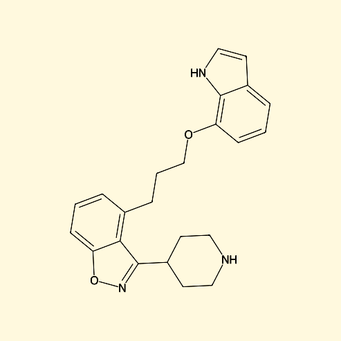 c1cc(OCCCc2cccc3onc(C4CCNCC4)c23)c2[nH]ccc2c1